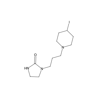 O=C1NCCN1CCCN1CCC(I)CC1